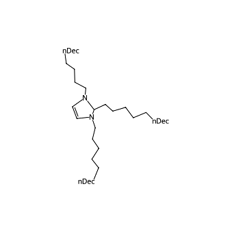 CCCCCCCCCCCCCCCC1N(CCCCCCCCCCCCCC)C=CN1CCCCCCCCCCCCCCC